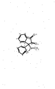 CN(C)C1(c2ccccc2)C(=O)C(=O)c2ccccc21